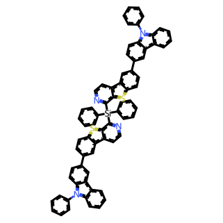 c1ccc(-n2c3ccccc3c3cc(-c4ccc5sc6c([Si](c7ccccc7)(c7ccccc7)c7nccc8c7sc7ccc(-c9ccc%10c(c9)c9ccccc9n%10-c9ccccc9)cc78)nccc6c5c4)ccc32)cc1